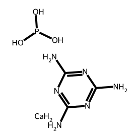 Nc1nc(N)nc(N)n1.OP(O)O.[CaH2]